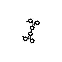 CC1=C[C@H](N(c2ccccc2)c2ccc(-c3ccc(N(c4ccccc4)c4cccc(C)c4)cc3)cc2)CC=C1